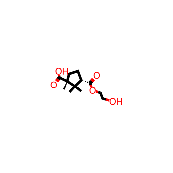 CC1(C)[C@@H](C(=O)OCCO)CC[C@@]1(C)C(=O)O